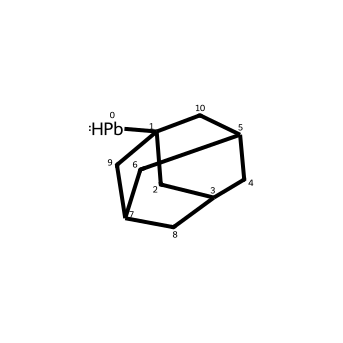 [PbH][C]12CC3CC(CC(C3)C1)C2